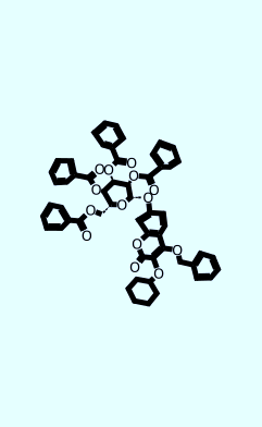 O=C(OC[C@H]1O[C@@H](Oc2ccc3c(OCc4ccccc4)c(OC4CCCCC4)c(=O)oc3c2)[C@H](OC(=O)c2ccccc2)[C@@H](OC(=O)c2ccccc2)[C@@H]1OC(=O)c1ccccc1)c1ccccc1